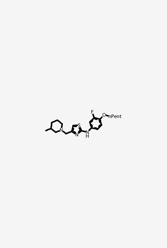 CCCCCOc1ccc(Nc2nc(CN3CCCC(C)C3)cs2)cc1F